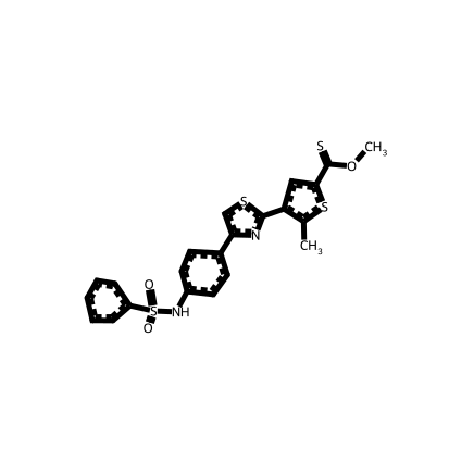 COC(=S)c1cc(-c2nc(-c3ccc(NS(=O)(=O)c4ccccc4)cc3)cs2)c(C)s1